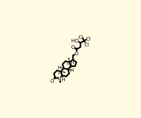 CN1C(=O)CC[C@]2(C)[C@H]3CC[C@]4(C)C(COC(=O)CC(O)C(Cl)(Cl)Cl)CC[C@H]4[C@@H]3CC[C@@H]12